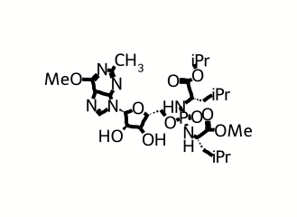 COC(=O)[C@H](CC(C)C)NP(=O)(N[C@@H](CC(C)C)C(=O)OC(C)C)OC[C@H]1O[C@@H](N2C=NC3C(OC)=NC(C)=NC32)[C@H](O)C1O